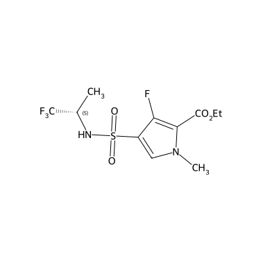 CCOC(=O)c1c(F)c(S(=O)(=O)N[C@@H](C)C(F)(F)F)cn1C